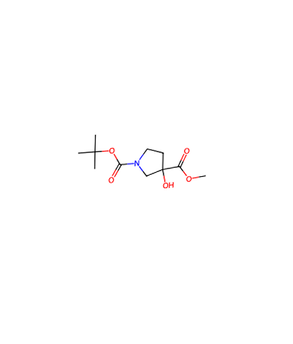 COC(=O)C1(O)CCN(C(=O)OC(C)(C)C)C1